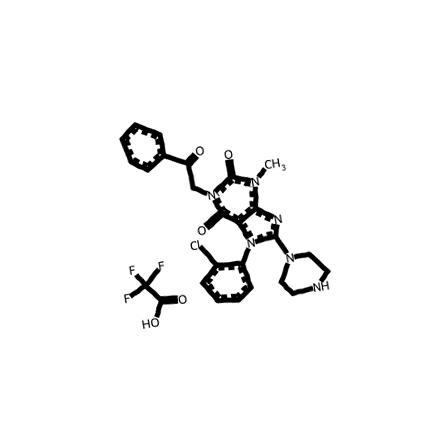 Cn1c(=O)n(CC(=O)c2ccccc2)c(=O)c2c1nc(N1CCNCC1)n2-c1ccccc1Cl.O=C(O)C(F)(F)F